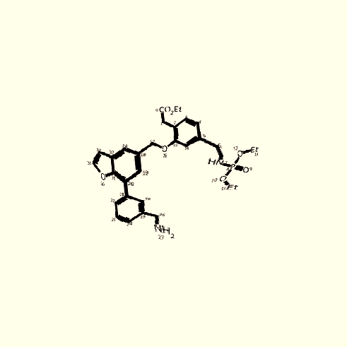 CCOC(=O)Cc1ccc(CNP(=O)(OCC)OCC)cc1OCc1cc(-c2cccc(CN)c2)c2occc2c1